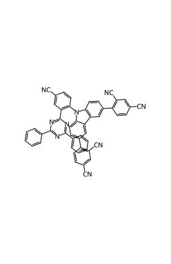 N#Cc1ccc(-c2ccc3c(c2)c2cc(-c4ccc(C#N)cc4C#N)ccc2n3-c2ccc(C#N)cc2-c2nc(-c3ccccc3)nc(-c3ccccc3)n2)c(C#N)c1